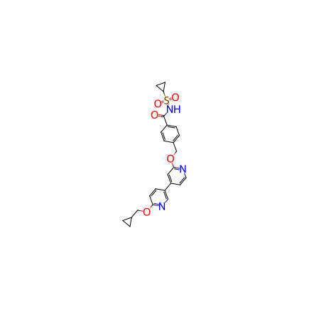 O=C(NS(=O)(=O)C1CC1)c1ccc(COc2cc(-c3ccc(OCC4CC4)nc3)ccn2)cc1